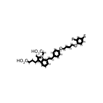 Cc1c(CCCC(=O)O)c2cccc(/C=C/c3ccc(OC/C=C/COc4ccc(F)cc4F)cc3)c2n1CC(=O)O